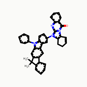 CC1(C)c2ccccc2-c2cc3c4cc(-n5c6c(n7c(=O)c8ccccc8nc57)C=CCC6)ccc4n(-c4ccccc4)c3cc21